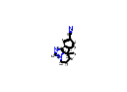 CC1(c2ccc(C#N)cc2)CCCn2cncc21